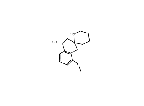 COc1cccc2c1CC1(CCCCN1)CC2.Cl